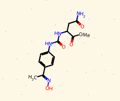 COC(=O)C(CC(N)=O)NC(=O)Nc1ccc(C(C)=NO)cc1